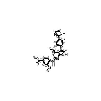 CNC(=O)c1ccc(Nc2nc(OC)c3c(-c4ccc(-c5ncc[nH]5)cc4)c[nH]c3n2)c(OC)c1